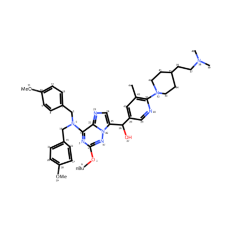 CCCCOc1nc(N(Cc2ccc(OC)cc2)Cc2ccc(OC)cc2)c2ncc(C(O)c3cnc(N4CCC(CCN(C)C)CC4)c(C)c3)n2n1